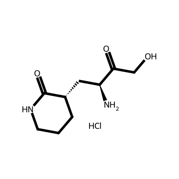 Cl.N[C@@H](C[C@@H]1CCCNC1=O)C(=O)CO